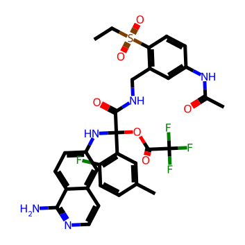 CCS(=O)(=O)c1ccc(NC(C)=O)cc1CNC(=O)C(Nc1ccc2c(N)nccc2c1)(OC(=O)C(F)(F)F)c1cc(C)ccc1F